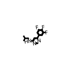 CC(C)CNc1cc(-c2cc(F)c(F)c(F)c2)ncn1